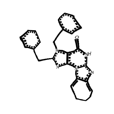 O=c1[nH]c2nc3c(n2c2nc(Cc4ccccc4)n(Cc4ccccc4)c12)=CCCC=3